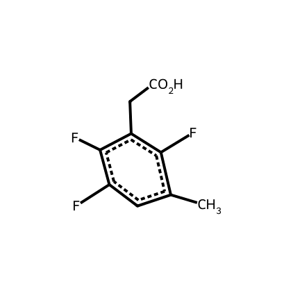 Cc1cc(F)c(F)c(CC(=O)O)c1F